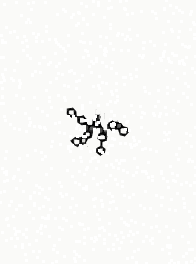 Brc1cc(N(c2ccc(-c3ccccc3)cc2)c2ccc3sc4c(c3c2)C=CCC4)cc(N(c2ccc(-c3ccccc3)cc2)c2ccc3sc4ccccc4c3c2)c1